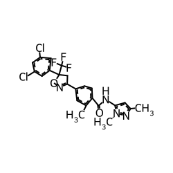 Cc1cc(NC(=O)c2ccc(C3=NOC(c4cc(Cl)cc(Cl)c4)(C(F)(F)F)C3)cc2C)n(C)n1